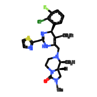 CCOC(=O)C1=C(CN2CCN3C(=O)N(C(C)(C)C)C[C@H]3[C@@H]2C(=O)O)NC(c2nccs2)=N[C@H]1c1cccc(F)c1Cl